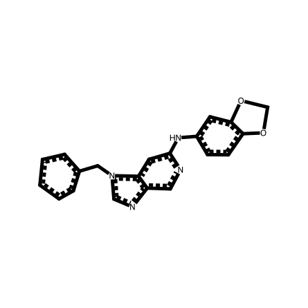 c1ccc(Cn2cnc3cnc(Nc4ccc5c(c4)OCO5)cc32)cc1